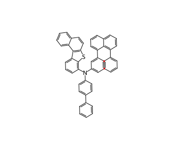 c1ccc(-c2ccc(N(c3cccc(-c4cccc5cccc(-c6ccccc6)c45)c3)c3cccc4c3sc3ccc5ccccc5c34)cc2)cc1